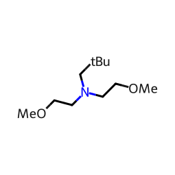 COCCN(CCOC)CC(C)(C)C